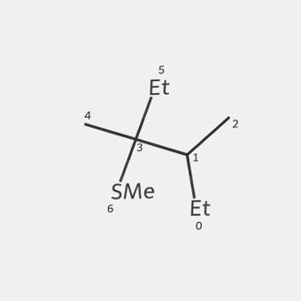 CCC(C)C(C)(CC)SC